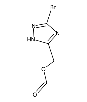 O=COCc1nc(Br)n[nH]1